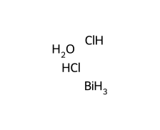 Cl.Cl.O.[BiH3]